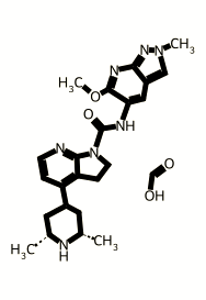 COc1nc2nn(C)cc2cc1NC(=O)N1CCc2c(C3C[C@@H](C)N[C@@H](C)C3)ccnc21.O=CO